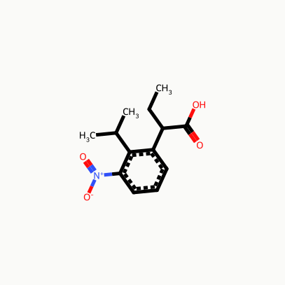 CCC(C(=O)O)c1cccc([N+](=O)[O-])c1C(C)C